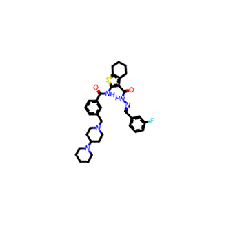 O=C(Nc1sc2c(c1C(=O)NN=Cc1cccc(F)c1)CCCC2)c1cccc(CN2CCC(N3CCCCC3)CC2)c1